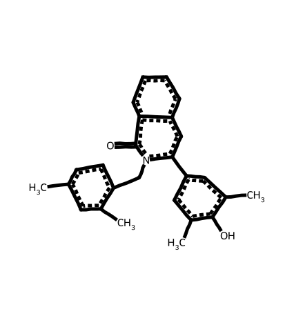 Cc1ccc(Cn2c(-c3cc(C)c(O)c(C)c3)cc3ccccc3c2=O)c(C)c1